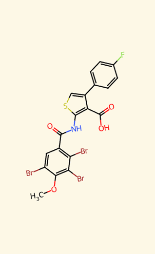 COc1c(Br)cc(C(=O)Nc2scc(-c3ccc(F)cc3)c2C(=O)O)c(Br)c1Br